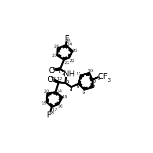 O=C(NC(Cc1ccc(C(F)(F)F)cc1)C(=O)c1ccc(F)cc1)c1ccc(F)cc1